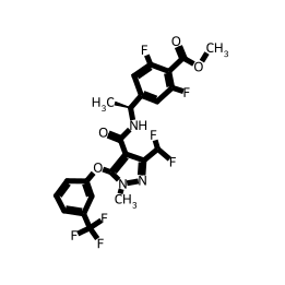 COC(=O)c1c(F)cc([C@H](C)NC(=O)c2c(C(F)F)nn(C)c2Oc2cccc(C(F)(F)F)c2)cc1F